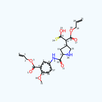 C=CCOC(=O)c1cc(NC(=O)C2CC(C(C(=O)OCC=C)C(O)=S)CN2)ccc1OC